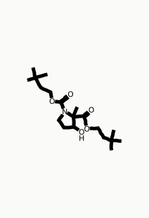 CC(C)(C)CCOC(=O)N1CCC(O)C1(C)C(=O)OCCC(C)(C)C